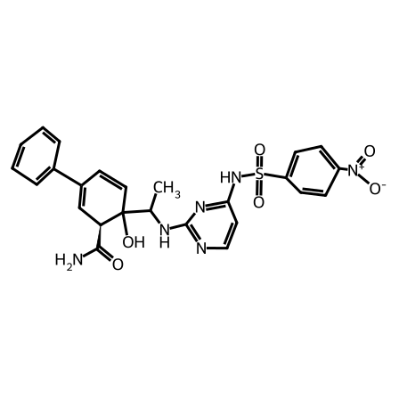 CC(Nc1nccc(NS(=O)(=O)c2ccc([N+](=O)[O-])cc2)n1)C1(O)C=CC(c2ccccc2)=C[C@@H]1C(N)=O